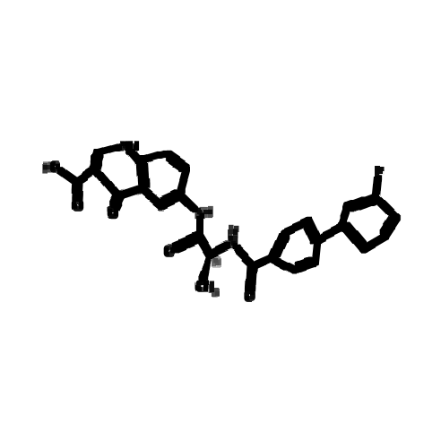 C[C@H](NC(=O)c1ccc(-c2cccc(F)c2)cc1)C(=O)Nc1ccc2[nH]cc(C(=O)O)c(=O)c2c1